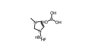 CCCCN1C=CN(C)C1.F.OB(O)O